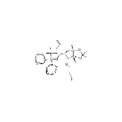 C=CC[C@@H](O[Si](c1ccccc1)(c1ccccc1)C(C)(C)C)[C@H]1O[C@@H]2OC(C)(C)O[C@@H]2[C@@H]1OCCCC